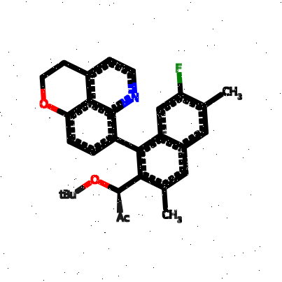 CC(=O)[C@@H](OC(C)(C)C)c1c(C)cc2cc(C)c(F)cc2c1-c1ccc2c3c(ccnc13)CCO2